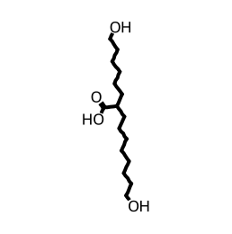 O=C(O)C(CCCCCCO)CCCCCCCCO